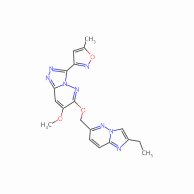 CCc1cn2nc(COc3nn4c(-c5cc(C)on5)nnc4cc3OC)ccc2n1